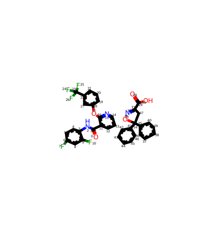 O=C(Nc1ccc(F)cc1F)c1cccnc1Oc1cccc(C(F)(F)F)c1.O=C(O)C1=NOC(c2ccccc2)(c2ccccc2)C1